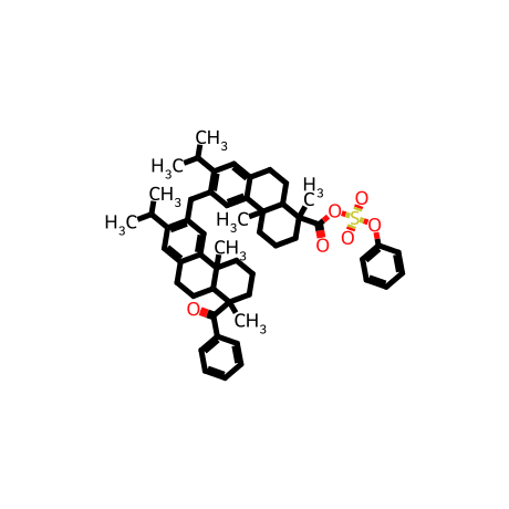 CC(C)c1cc2c(cc1Cc1cc3c(cc1C(C)C)CCC1C(C)(C(=O)c4ccccc4)CCCC31C)C1(C)CCCC(C)(C(=O)OS(=O)(=O)Oc3ccccc3)C1CC2